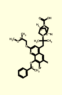 CO[C@@H](C)COc1cc(CC(C)(C)N2C[C@@H]3C[C@H]2CN3C(=O)O)c2cc(I)c(Br)c(O[C@@H](C)c3ccccc3)c2n1